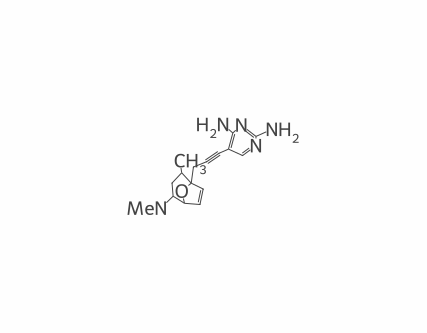 CNC1CC(C)C2(CC#Cc3cnc(N)nc3N)C=CC1O2